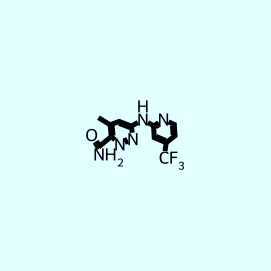 Cc1cc(Nc2cc(C(F)(F)F)ccn2)nnc1C(N)=O